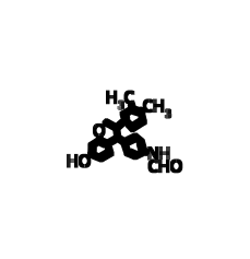 Cc1ccc(C2COc3cc(O)ccc3C2c2ccc(NC=O)cc2)cc1C